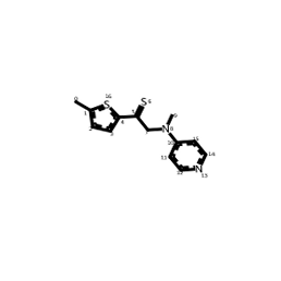 Cc1ccc(C(=S)CN(C)c2ccncc2)s1